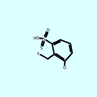 O=S(O)(=S)c1cccc(Cl)c1CF